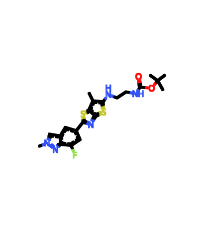 Cc1c(NCCNC(=O)OC(C)(C)C)sc2nc(-c3cc(F)c4nn(C)cc4c3)sc12